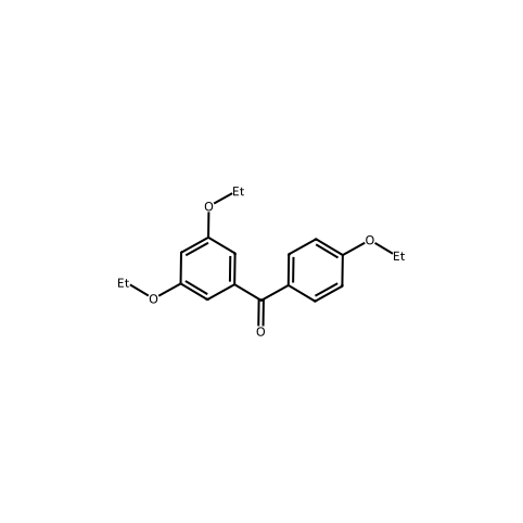 CCOc1ccc(C(=O)c2cc(OCC)cc(OCC)c2)cc1